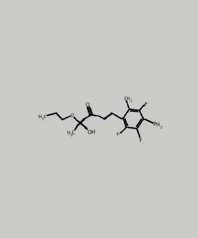 CCCOC(C)(O)C(=O)CCc1c(C)c(F)c(P)c(F)c1F